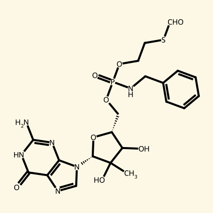 CC1(O)C(O)[C@@H](COP(=O)(NCc2ccccc2)OCCSC=O)O[C@H]1n1cnc2c(=O)[nH]c(N)nc21